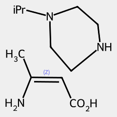 C/C(N)=C/C(=O)O.CC(C)N1CCNCC1